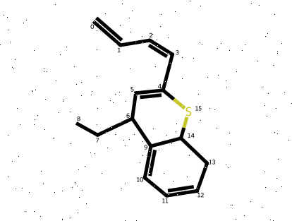 C=C/C=C\C1=CC(CC)C2=CC=CCC2S1